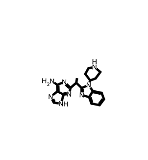 CC(c1nc(N)c2nc[nH]c2n1)c1nc2ccccc2n1C1CCNCC1